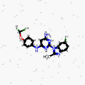 Cc1nc2ccc(F)cc2n1-c1nc(N)cc(Nc2ccc(OC(F)F)cc2)n1